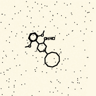 COc1cccc(OC)c1C1CCN(C2CCCCCCCCC2)CC1O.Cl